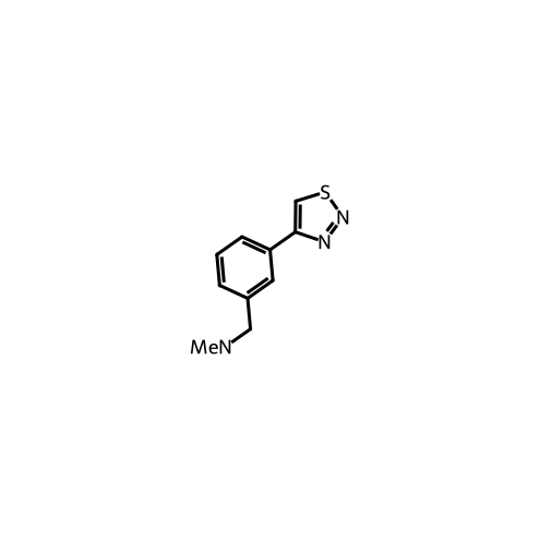 CNCc1cccc(-c2csnn2)c1